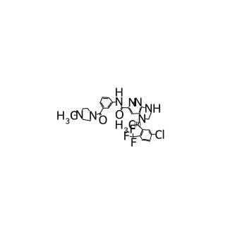 C[C@H](c1cc(Cl)ccc1C(F)(F)F)N1CCNc2nnc(C(=O)Nc3cccc(C(=O)N4CCN(C)CC4)c3)cc21